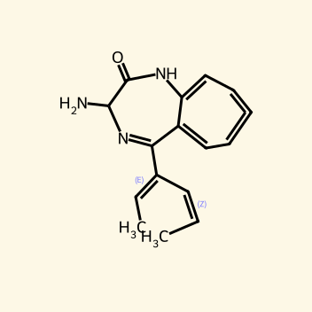 C/C=C\C(=C/C)C1=NC(N)C(=O)NC2=CC=C=CC=C21